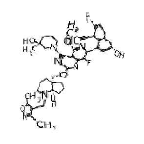 C#Cc1c(F)ccc2cc(O)cc(-c3nc(OC)c4c(N5CCC[C@@](C)(O)C5)nc(OC[C@]56CCC[C@H]5N(Cc5c(C)noc5C)CCC6)nc4c3F)c12